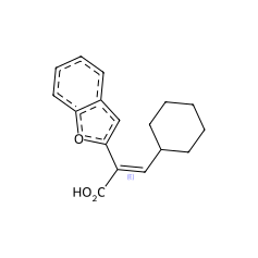 O=C(O)/C(=C/C1CCCCC1)c1cc2ccccc2o1